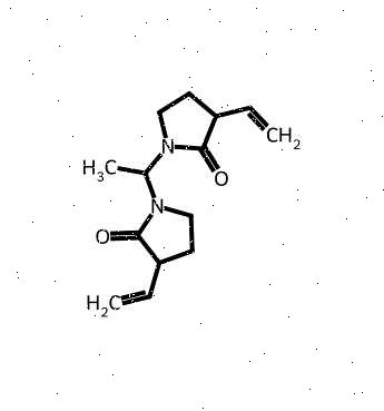 C=CC1CCN(C(C)N2CCC(C=C)C2=O)C1=O